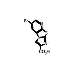 O=C(O)c1cn2c(n1)sc1ncc(Br)cc12